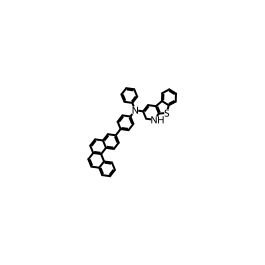 C1=C(N(c2ccccc2)c2ccc(-c3ccc4c(ccc5ccc6ccccc6c54)c3)cc2)CNc2sc3ccccc3c21